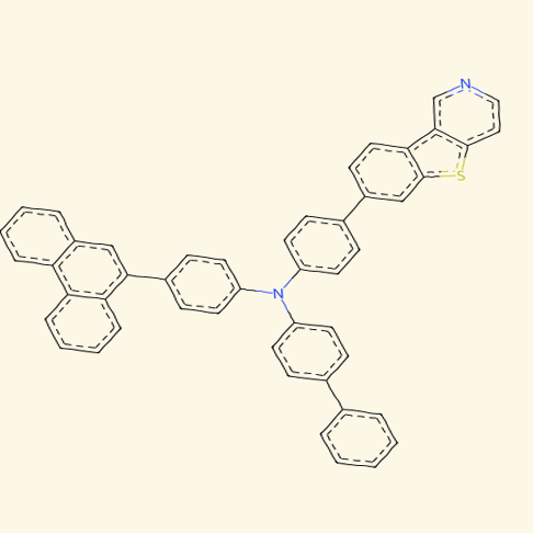 c1ccc(-c2ccc(N(c3ccc(-c4ccc5c(c4)sc4ccncc45)cc3)c3ccc(-c4cc5ccccc5c5ccccc45)cc3)cc2)cc1